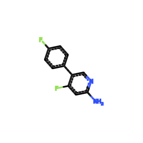 Nc1cc(F)c(-c2ccc(F)cc2)cn1